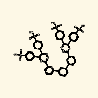 O=S(=O)(O)c1ccc(-c2nnc(-c3cccc(-c4cccc(-c5cccc(-c6nnc(-c7ccc(S(=O)(=O)O)cc7)c(-c7ccc(S(=O)(=O)O)cc7)n6)n5)n4)n3)nc2-c2ccc(S(=O)(=O)O)cc2)cc1